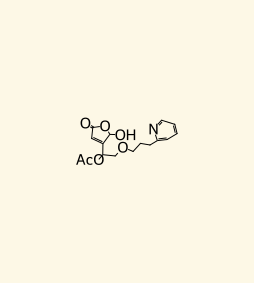 CC(=O)OC(COCCCc1ccccn1)C1=CC(=O)OC1O